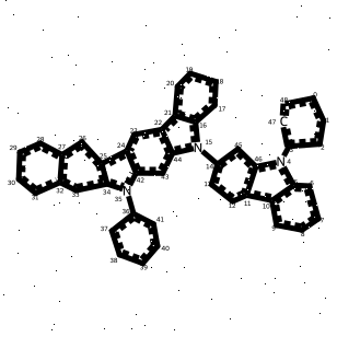 c1ccc(-n2c3ccccc3c3ccc(-n4c5ccccc5c5cc6c7cc8ccccc8cc7n(-c7ccccc7)c6cc54)cc32)cc1